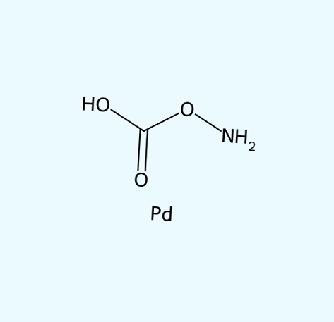 NOC(=O)O.[Pd]